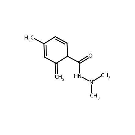 C=C1C=C(C)C=CC1C(=O)NN(C)C